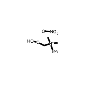 CCC[N+](C)(C)CCO.O=[N+]([O-])[O-]